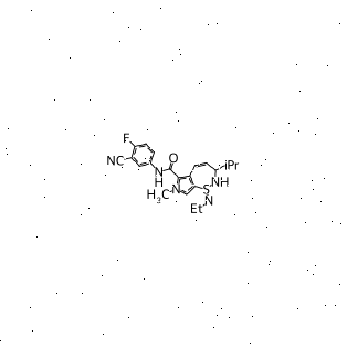 CC/N=S1/NC(C(C)C)C=Cc2c1cn(C)c2C(=O)Nc1ccc(F)c(C#N)c1